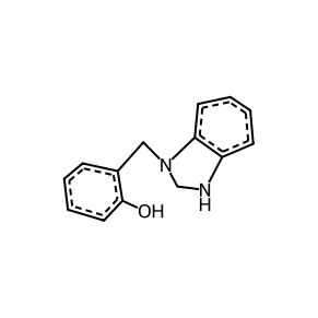 Oc1ccccc1CN1CNc2ccccc21